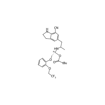 CC(Cc1cc(C#N)c2c(c1)CCN2)N[C@@H](COc1ccccc1OCC(F)(F)F)OC(=O)C(C)(C)C